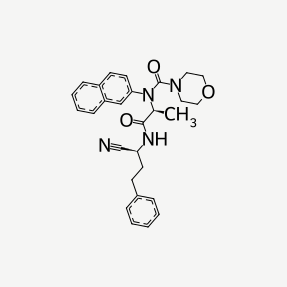 C[C@@H](C(=O)N[C@H](C#N)CCc1ccccc1)N(C(=O)N1CCOCC1)c1ccc2ccccc2c1